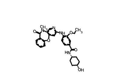 CCOc1cc(C(=O)N[C@H]2CC[C@H](O)CC2)ccc1Nc1cc2c(cn1)N(C)C(=O)c1ccccc1O2